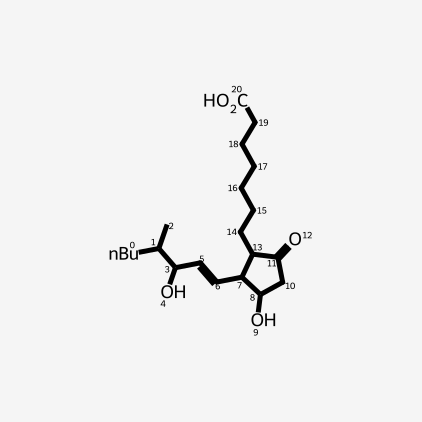 CCCCC(C)C(O)C=CC1C(O)CC(=O)C1CCCCCCC(=O)O